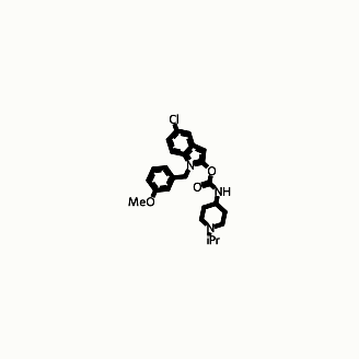 COc1cccc(Cn2c(OC(=O)NC3CCN(C(C)C)CC3)cc3cc(Cl)ccc32)c1